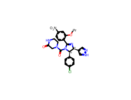 CC(C)Oc1cc([N+](=O)[O-])ccc1C1=N[C@@H](c2cn[nH]c2)[C@@H](c2ccc(Cl)cc2)N1C(=O)N1CCNC(=O)C1